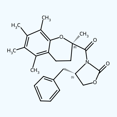 Cc1c(C)c(C)c2c(c1C)CC[C@](C)(C(=O)N1C(=O)OC[C@@H]1Cc1ccccc1)O2